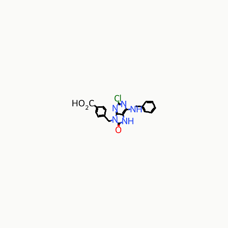 O=C(O)c1ccc(Cn2c(=O)[nH]c3c(NCc4ccccc4)nc(Cl)nc32)cc1